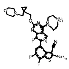 N#Cc1c(N)sc2c(F)c(F)cc(-c3ncc4c(N5CCNCC5)nc(OCC5(CN6CCOCC6)CC5)nc4c3F)c12